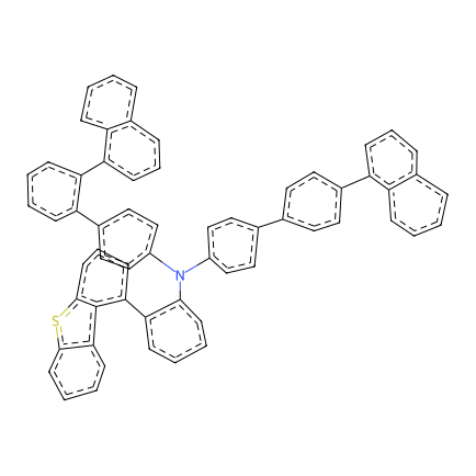 c1ccc(-c2cccc3ccccc23)c(-c2ccc(N(c3ccc(-c4ccc(-c5cccc6ccccc56)cc4)cc3)c3ccccc3-c3cccc4sc5ccccc5c34)cc2)c1